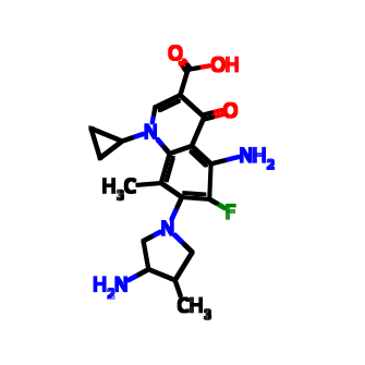 Cc1c(N2CC(C)C(N)C2)c(F)c(N)c2c(=O)c(C(=O)O)cn(C3CC3)c12